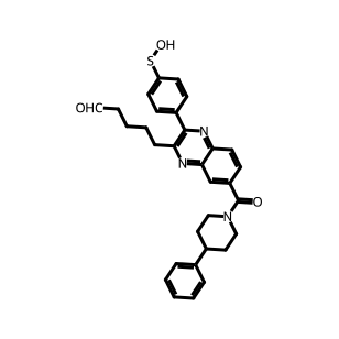 O=CCCCCc1nc2cc(C(=O)N3CCC(c4ccccc4)CC3)ccc2nc1-c1ccc(SO)cc1